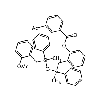 COc1ccccc1C[Si](C)(O[Si](C)(Cc1ccccc1OC(=O)c1cccc(C(C)=O)c1)c1ccccc1)c1ccccc1